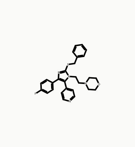 Fc1ccc(-c2nc(SCc3ccccc3)n(CCN3CCOCC3)c2-c2ccncc2)cc1